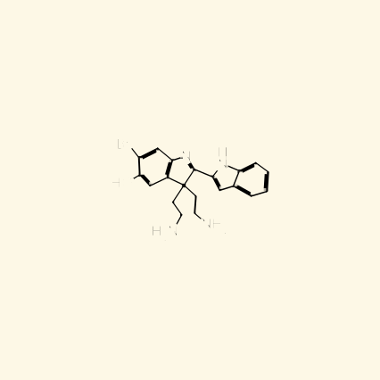 NCCC1(CCN)C(c2cc3ccccc3[nH]2)=Nc2cc(Br)c(O)cc21